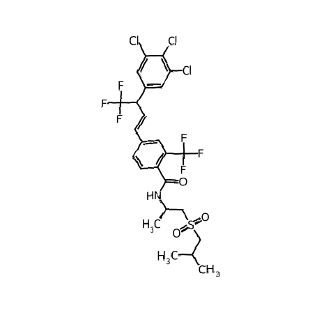 CC(C)CS(=O)(=O)C[C@@H](C)NC(=O)c1ccc(/C=C/C(c2cc(Cl)c(Cl)c(Cl)c2)C(F)(F)F)cc1C(F)(F)F